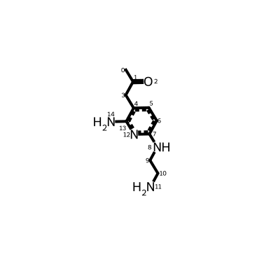 CC(=O)Cc1ccc(NCCN)nc1N